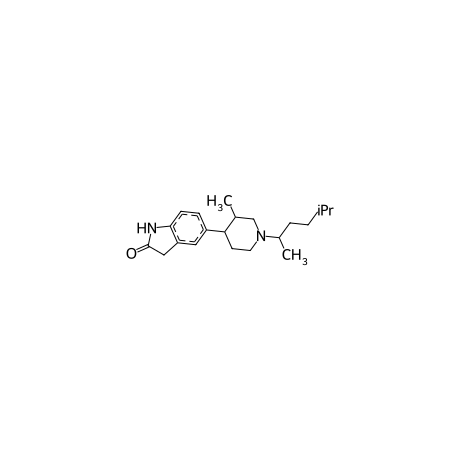 CC(C)CCC(C)N1CCC(c2ccc3c(c2)CC(=O)N3)C(C)C1